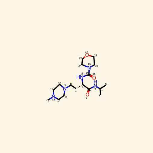 CC(C)NC(=O)[C@H](CCN1CCN(C)CC1)NC(=O)N1CCOCC1